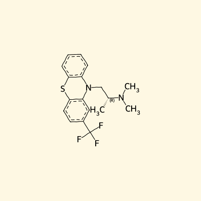 C[C@H](CN1c2ccccc2Sc2ccc(C(F)(F)F)cc21)N(C)C